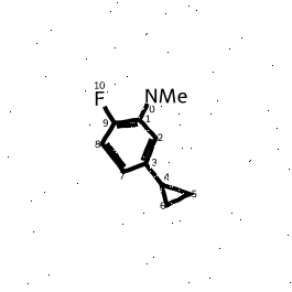 CNc1cc(C2CC2)ccc1F